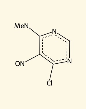 CNc1ncnc(Cl)c1N=O